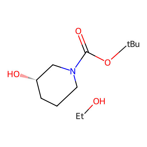 CC(C)(C)OC(=O)N1CCC[C@H](O)C1.CCO